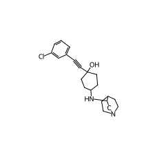 OC1(C#Cc2cccc(Cl)c2)CCC(NC2CN3CCC2CC3)CC1